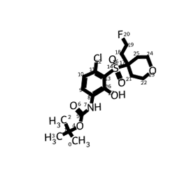 CC(C)(C)OC(=O)Nc1ccc(Cl)c(S(=O)(=O)C2(CCF)CCOCC2)c1O